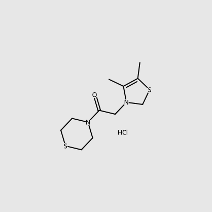 CC1=C(C)N(CC(=O)N2CCSCC2)CS1.Cl